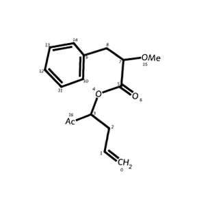 C=CCC(OC(=O)C(Cc1ccccc1)OC)C(C)=O